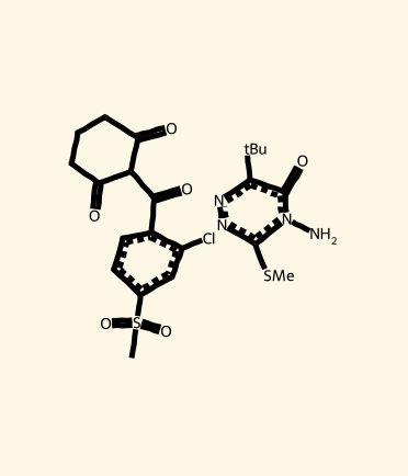 CS(=O)(=O)c1ccc(C(=O)C2C(=O)CCCC2=O)c(Cl)c1.CSc1nnc(C(C)(C)C)c(=O)n1N